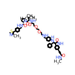 CCNC(=O)C#Cc1ccc2c(c1)NC(=O)/C2=C(\Nc1ccc(CNCCOCCOCCC(=O)N[C@H](C(=O)N2CCC[C@H]2C(=O)NCc2ccc(-c3scnc3C)cc2)C(C)(C)C)cc1)c1ccccc1